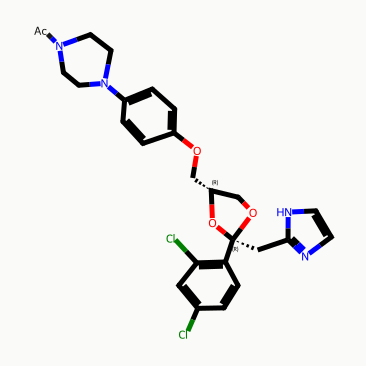 CC(=O)N1CCN(c2ccc(OC[C@@H]3CO[C@@](Cc4ncc[nH]4)(c4ccc(Cl)cc4Cl)O3)cc2)CC1